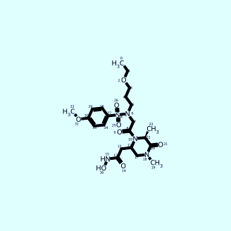 CCOCCCN(CC(=O)N1C(CC(=O)NO)CN(C)C(=O)[C@@H]1C)S(=O)(=O)c1ccc(OC)cc1